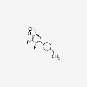 C=CC1CC=C(c2ccc(OC)c(F)c2F)CC1